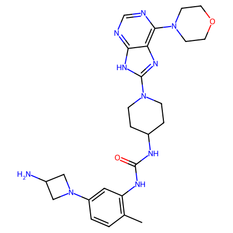 Cc1ccc(N2CC(N)C2)cc1NC(=O)NC1CCN(c2nc3c(N4CCOCC4)ncnc3[nH]2)CC1